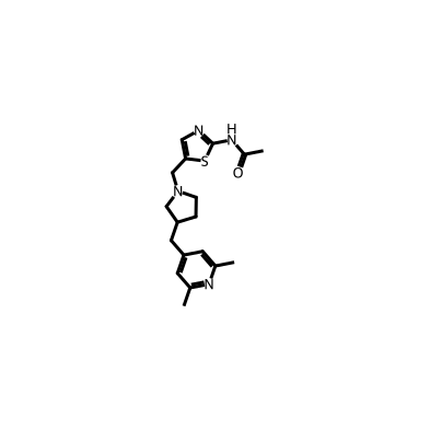 CC(=O)Nc1ncc(CN2CCC(Cc3cc(C)nc(C)c3)C2)s1